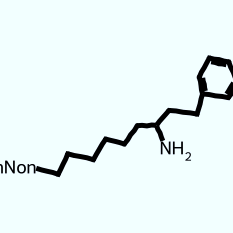 CCCCCCCCCCCCCCCC(N)CCc1ccccc1